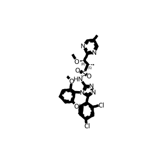 COc1cccc(O)c1-n1c(NS(=O)(=O)[C@@H](C)[C@H](OC)c2ncc(C)cn2)nnc1-c1c#cc(Cl)cc1Cl